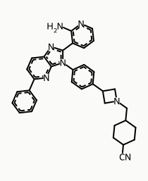 N#CC1CCC(CN2CC(c3ccc(-n4c(-c5cccnc5N)nc5ccc(-c6ccccc6)nc54)cc3)C2)CC1